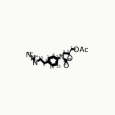 CC(=O)OC[C@@H]1CN(c2ccc(CCN=[N+]=[N-])cc2)C(=O)O1